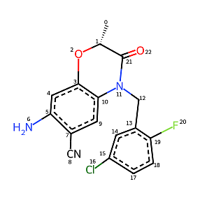 C[C@H]1Oc2cc(N)c(C#N)cc2N(Cc2cc(Cl)ccc2F)C1=O